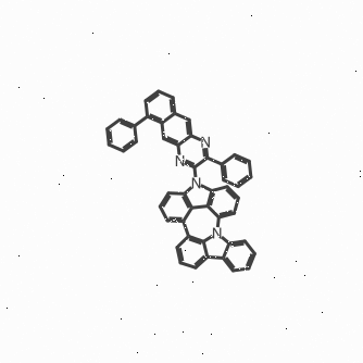 c1ccc(-c2nc3cc4cccc(-c5ccccc5)c4cc3nc2-n2c3cccc4c5cccc6c7ccccc7n(c7cccc2c7c43)c56)cc1